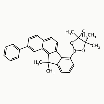 CC1(C)c2cccc(B3OC(C)(C)C(C)(C)O3)c2-c2ccc3ccc(-c4ccccc4)cc3c21